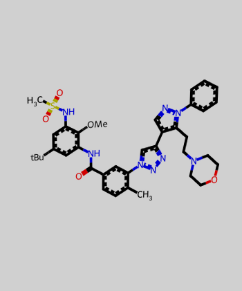 COc1c(NC(=O)c2ccc(C)c(-n3cc(-c4cnn(-c5ccccc5)c4CCN4CCOCC4)nn3)c2)cc(C(C)(C)C)cc1NS(C)(=O)=O